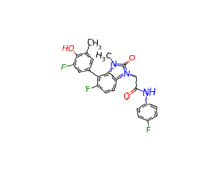 Cc1cc(-c2c(F)ccc3c2n(C)c(=O)n3CC(=O)Nc2ccc(F)cc2)cc(F)c1O